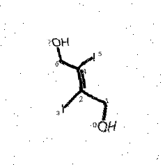 OCC(I)=C(I)CO